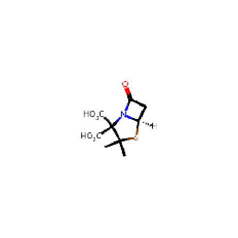 CC1(C)S[C@@H]2CC(=O)N2C1(C(=O)O)C(=O)O